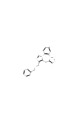 Clc1ccc2c(c1)-n1nncc1Cc1c(COCc3ccccc3)ncn1-2